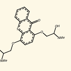 CNC(O)COc1ccc(OCC(O)NC)c2c(=O)c3ccccc3sc12